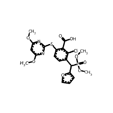 COc1cc(OC)nc(Sc2ccc(C(c3ccco3)P(=O)(OC)OC)c(Cl)c2C(=O)O)n1